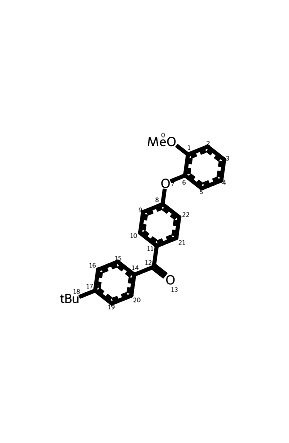 COc1ccccc1Oc1ccc(C(=O)c2ccc(C(C)(C)C)cc2)cc1